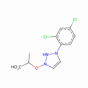 CC(ON1C=CN(c2ccc(Cl)cc2Cl)N1)C(=O)O